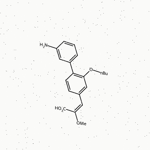 CCCCOc1cc(C=C(OC)C(=O)O)ccc1-c1cccc(N)c1